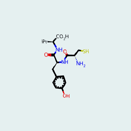 CC(C)[C@H](NC(=O)[C@H](Cc1ccc(O)cc1)NC(=O)[C@@H](N)CS)C(=O)O